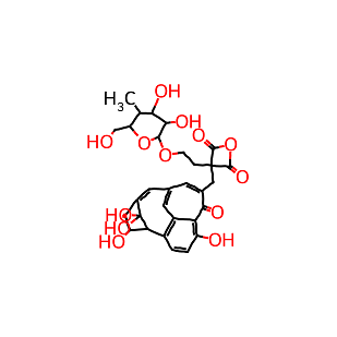 CC1C(CO)OC(OCCC2(Cc3cc4cc5c(ccc(O)c5c3=O)C3C(O)C/C(=C/4)C3(O)O)C(=O)OC2=O)C(O)C1O